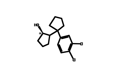 O[C@@H]1CCCC1C1(c2ccc(Cl)c(Cl)c2)CCCC1